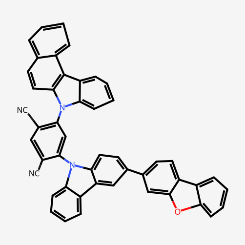 N#Cc1cc(C#N)c(-n2c3ccccc3c3c4ccccc4ccc32)cc1-n1c2ccccc2c2cc(-c3ccc4c(c3)oc3ccccc34)ccc21